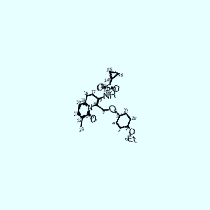 CCOC1CCC(OCC2C(NS(=O)(=O)C3CC3)CCc3ccc(C)c(=O)n32)CC1